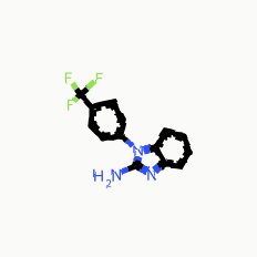 Nc1nc2ccccc2n1-c1ccc(C(F)(F)F)cc1